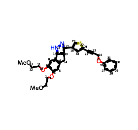 COCCOc1cc2c(cc1OCCOC)-c1[nH]nc(-c3csc(C#CCOc4ccccc4)c3)c1C2